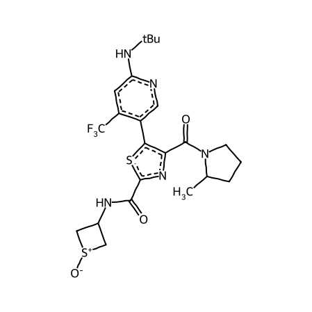 CC1CCCN1C(=O)c1nc(C(=O)NC2C[S+]([O-])C2)sc1-c1cnc(NC(C)(C)C)cc1C(F)(F)F